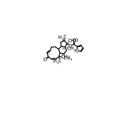 C[C@@H]1CC2C3CC/C=C/C(=O)/C=C\C(C)(C)C3[C@@H](C)C[C@]2(C)[C@]1(C=O)OC(=O)c1ccco1